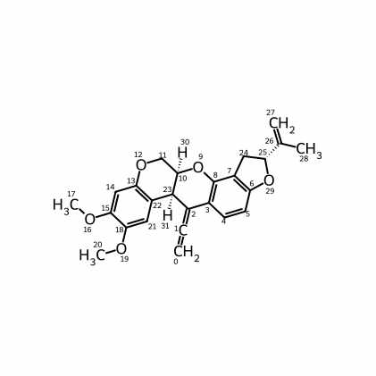 C=C=C1c2ccc3c(c2O[C@@H]2COc4cc(OC)c(OC)cc4[C@H]12)C[C@H](C(=C)C)O3